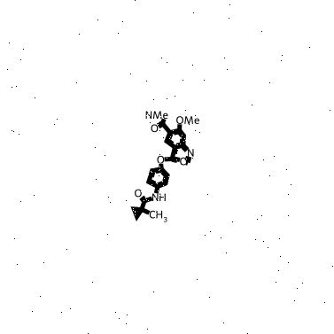 CNC(=O)c1cc2c(Oc3ccc(NC(=O)C4(C)CC4)cc3)ccnc2cc1OC